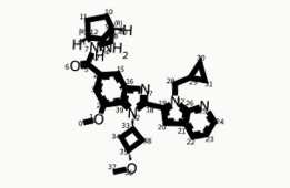 COc1cc(C(=O)N2C[C@H]3CC[C@@H]2[C@@H]3N)cc2nc(-c3cc4cccnc4n3CC3CC3)n([C@H]3C[C@@H](OC)C3)c12